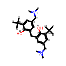 CN(C)Cc1cc(Cc2cc(CN(C)C)cc(C(C)(C)C)c2O)c(O)c(C(C)(C)C)c1